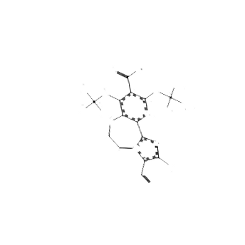 C=Cc1c(Cl)nc2n1CCOc1c-2nc(OC(C)(C)C)c(C(=O)O)c1OC(C)(C)C